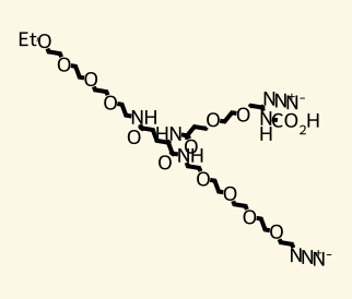 CCOCCOCCOCCOCCNC(=O)CCC(NC(=O)CCOCCOCC(N=[N+]=[N-])NC(=O)O)C(=O)NCCOCCOCCOCCOCCN=[N+]=[N-]